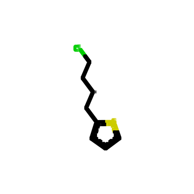 ClCC[CH]Cc1cccs1